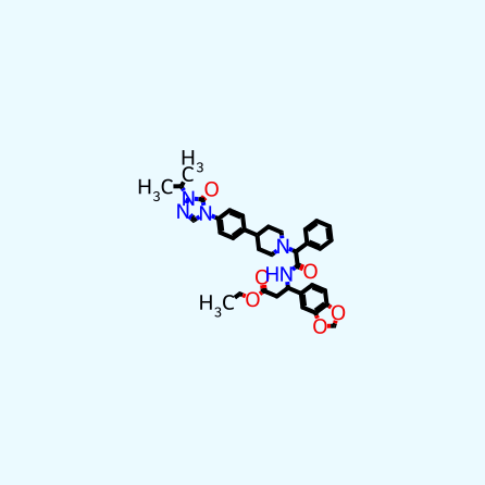 CCOC(=O)CC(NC(=O)C(c1ccccc1)N1CCC(c2ccc(-n3cnn(C(C)C)c3=O)cc2)CC1)c1ccc2c(c1)OCO2